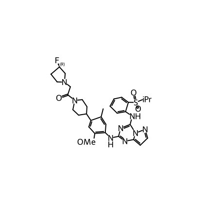 COc1cc(C2CCN(C(=O)CN3CC[C@@H](F)C3)CC2)c(C)cc1Nc1nc(Nc2ccccc2S(=O)(=O)C(C)C)n2nccc2n1